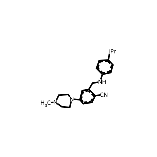 CC(C)c1ccc(NCc2cc(N3CCN(C)CC3)ccc2C#N)cc1